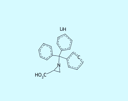 O=C(O)C1CN1C(c1ccccc1)(c1ccccc1)c1ccccc1.[LiH]